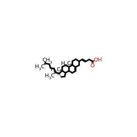 CC(C)CCC[C@@H](C)[C@H]1CCC2C3CC=C4CC(C=CCC(=O)O)CC[C@]4(C)C3CC[C@@]21C